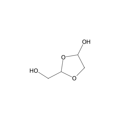 OCC1OCC(O)O1